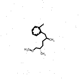 COC[C@@H](C)CC[C](C)Cc1ccccc1I